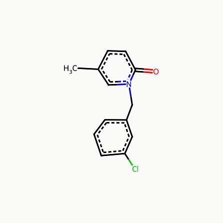 Cc1ccc(=O)n(Cc2cccc(Cl)c2)c1